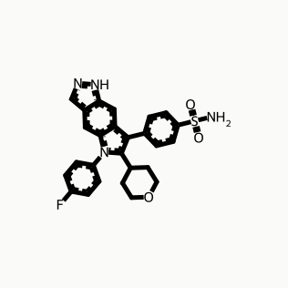 NS(=O)(=O)c1ccc(-c2c(C3CCOCC3)n(-c3ccc(F)cc3)c3cc4cn[nH]c4cc23)cc1